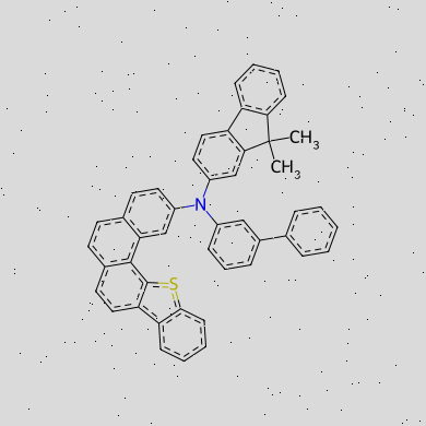 CC1(C)c2ccccc2-c2ccc(N(c3cccc(-c4ccccc4)c3)c3ccc4ccc5ccc6c7ccccc7sc6c5c4c3)cc21